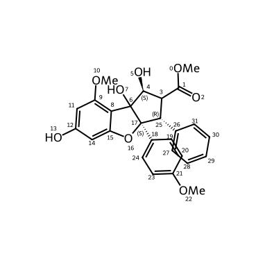 COC(=O)C1[C@H](O)C2(O)c3c(OC)cc(O)cc3O[C@]2(c2ccc(OC)cc2)[C@H]1c1ccccc1